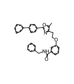 Cc1oc(-c2ccc(-c3ccccc3)cc2)nc1CCOc1[c]c(C(=O)NCc2ccccc2)ccc1